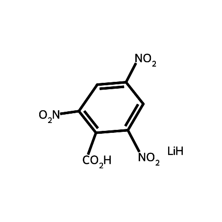 O=C(O)c1c([N+](=O)[O-])cc([N+](=O)[O-])cc1[N+](=O)[O-].[LiH]